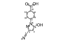 N#Cc1cc(O)n(-c2ccc(C(=O)O)cc2)n1